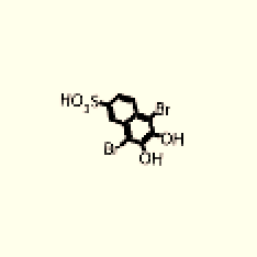 O=S(=O)(O)c1ccc2c(Br)c(O)c(O)c(Br)c2c1